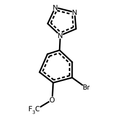 FC(F)(F)Oc1ccc(-n2cnnc2)cc1Br